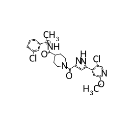 COc1cc(-c2cc(C(=O)N3CCC(C(=O)N[C@@H](C)c4cccc(Cl)c4)CC3)n[nH]2)c(Cl)cn1